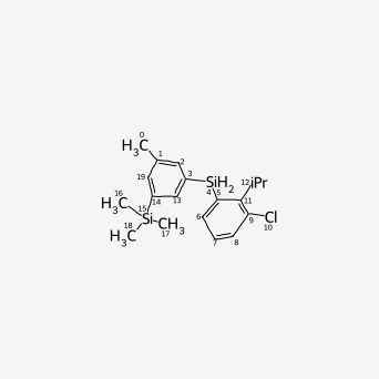 Cc1cc([SiH2]c2cccc(Cl)c2C(C)C)cc([Si](C)(C)C)c1